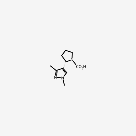 Cc1nn(C)cc1[C@@H]1CCCN1C(=O)O